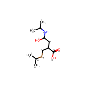 CC(C)NC(O)CC(CSC(C)C)C(=O)O